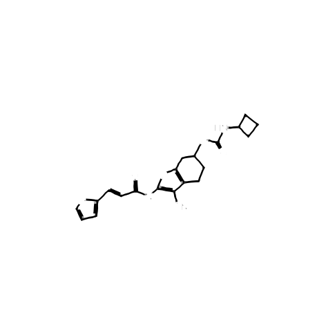 N#Cc1c(NC(=O)C=Cc2cccs2)sc2c1CCC(OC(=O)NC1CCC1)C2